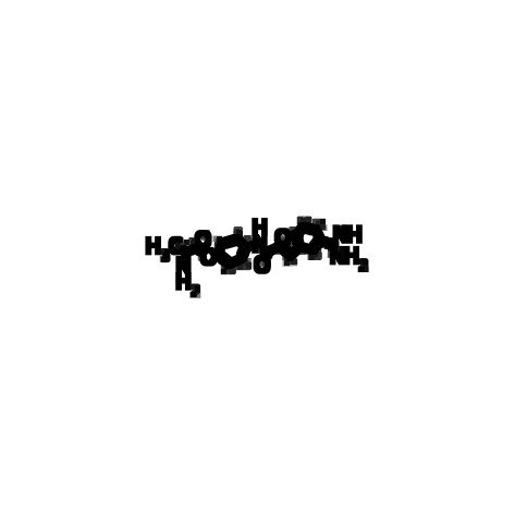 CC(N)C(=O)Oc1ccc(NC(=O)c2cc3cc(C(=N)N)ccc3o2)cc1